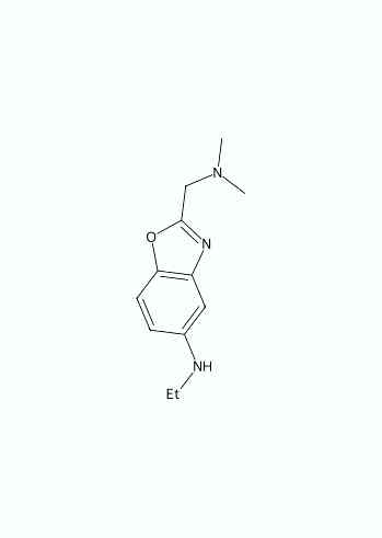 CCNc1ccc2oc(CN(C)C)nc2c1